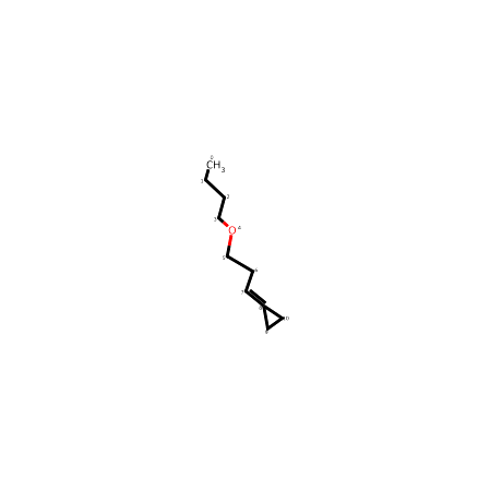 CCCCOCCC=C1CC1